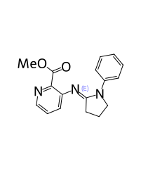 COC(=O)c1ncccc1/N=C1\CCCN1c1ccccc1